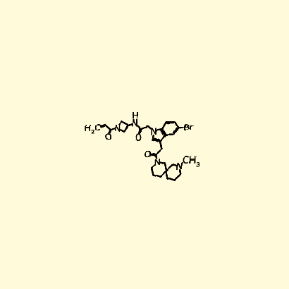 C=CC(=O)N1CC(NC(=O)Cn2cc(CC(=O)N3CCCC4(CCCN(C)C4)C3)c3cc(Br)ccc32)C1